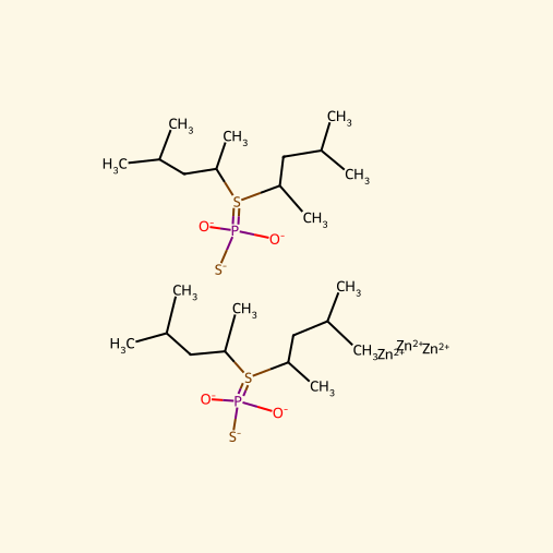 CC(C)CC(C)S(C(C)CC(C)C)=P([O-])([O-])[S-].CC(C)CC(C)S(C(C)CC(C)C)=P([O-])([O-])[S-].[Zn+2].[Zn+2].[Zn+2]